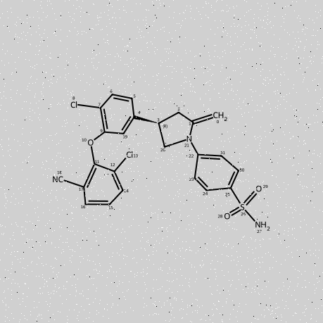 C=C1C[C@H](c2ccc(Cl)c(Oc3c(Cl)cccc3C#N)c2)CN1c1ccc(S(N)(=O)=O)cc1